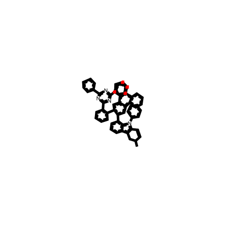 CC1C=Cc2c(c3cccc(-c4cc5c6ccccc6c6ccccc6c5cc4-c4ccccc4-c4nc(-c5ccccc5)nc(-c5ccccc5)n4)c3n2-c2ccccc2)C1